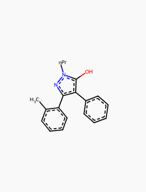 CCCn1nc(-c2ccccc2C)c(-c2ccccc2)c1O